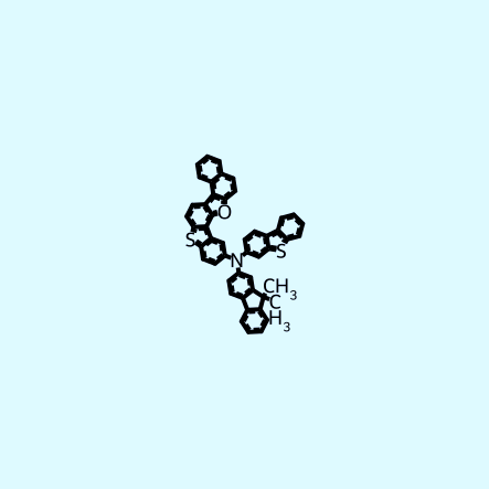 CC1(C)c2ccccc2-c2ccc(N(c3ccc4c(c3)sc3ccccc34)c3ccc4sc5ccc6c(oc7ccc8ccccc8c76)c5c4c3)cc21